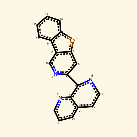 c1cnc2c(-c3cc4sc5ccccc5c4cn3)nccc2c1